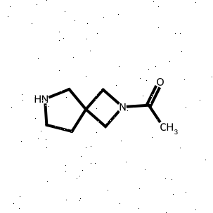 CC(=O)N1CC2(CCNC2)C1